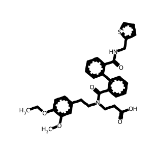 CCOc1ccc(CCN(CCC(=O)O)C(=O)c2ccccc2-c2ccccc2C(=O)NCc2cccs2)cc1OC